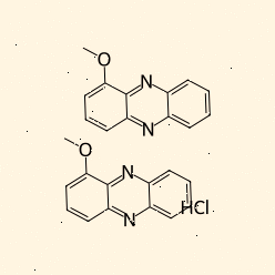 COc1cccc2nc3ccccc3nc12.COc1cccc2nc3ccccc3nc12.Cl